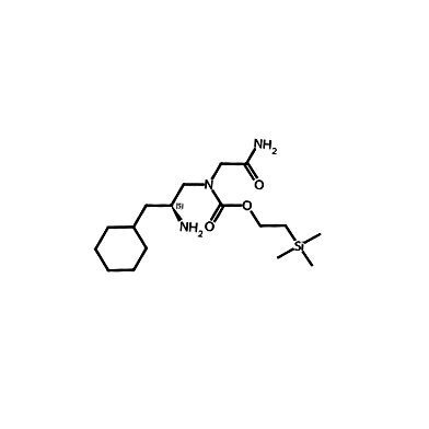 C[Si](C)(C)CCOC(=O)N(CC(N)=O)C[C@@H](N)CC1CCCCC1